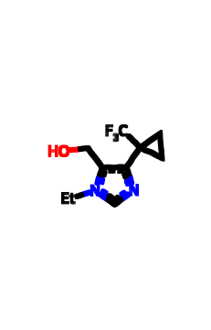 CCn1cnc(C2(C(F)(F)F)CC2)c1CO